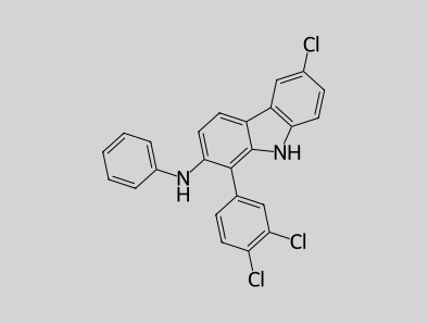 Clc1ccc2[nH]c3c(-c4ccc(Cl)c(Cl)c4)c(Nc4ccccc4)ccc3c2c1